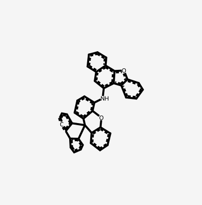 c1ccc2c(c1)Oc1c(Nc3cc4ccccc4c4oc5ccccc5c34)cccc1C21c2ccccc2-c2ccccc21